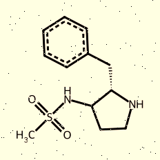 CS(=O)(=O)NC1CCN[C@H]1Cc1ccccc1